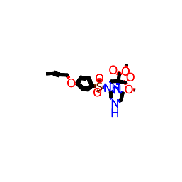 CC#CCOc1ccc(S(=O)(=O)NCC(C(=O)OC)(C(=O)OC)N2CCNCC2)cc1